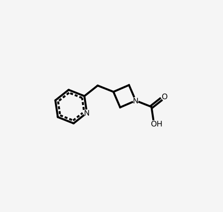 O=C(O)N1CC(Cc2ccccn2)C1